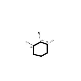 C[C@@H]1[C@H](C)CCC[C@@H]1C